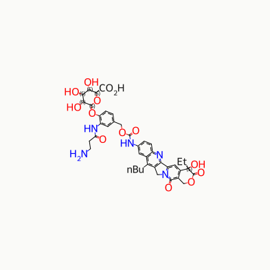 CCCCc1c2c(nc3ccc(NC(=O)OCc4ccc(O[C@@H]5O[C@H](C(=O)O)[C@@H](O)[C@H](O)[C@H]5O)c(NC(=O)CCN)c4)cc13)-c1cc3c(c(=O)n1C2)COC(=O)[C@]3(O)CC